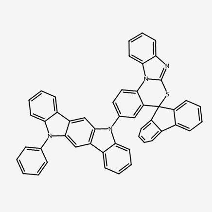 c1ccc(-n2c3ccccc3c3cc4c(cc32)c2ccccc2n4-c2ccc3c(c2)C2(Sc4nc5ccccc5n4-3)c3ccccc3-c3ccccc32)cc1